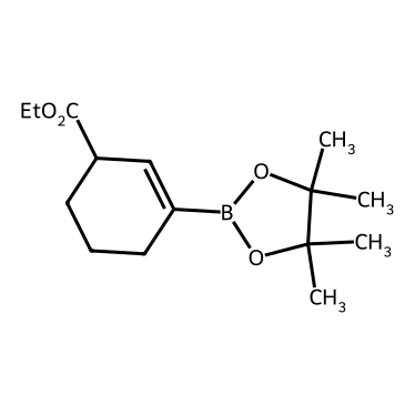 CCOC(=O)C1C=C(B2OC(C)(C)C(C)(C)O2)CCC1